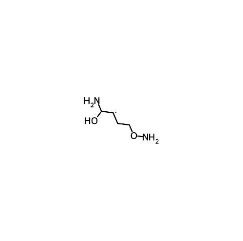 NOCC[CH]C(N)O